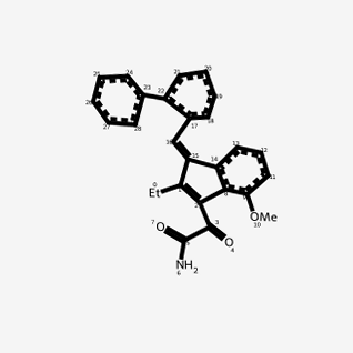 CCC1=C(C(=O)C(N)=O)c2c(OC)cccc2C1=Cc1ccccc1-c1ccccc1